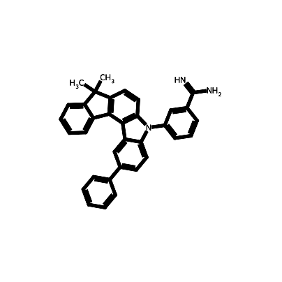 CC1(C)c2ccccc2-c2c1ccc1c2c2cc(-c3ccccc3)ccc2n1-c1cccc(C(=N)N)c1